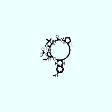 CC[C@@H]1[C@@H]2CN(C(=O)[C@H](C(C)(C)C)NC(=O)O[C@]3(C)CCC[C@H]3CCCCCc3nc4ccc(OC)cc4nc3O2)[C@@H]1C(=O)O